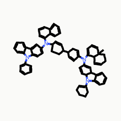 CC12C=CC=C(N(C3=CCC(C4C=CC(N(c5ccc6c(c5)c5ccccc5n6-c5ccccc5)c5cccc6ccccc56)CC4)C=C3)C3=CC4c5ccccc5N(C5=CCCCC5)C4C=C3)C1C=CCC2